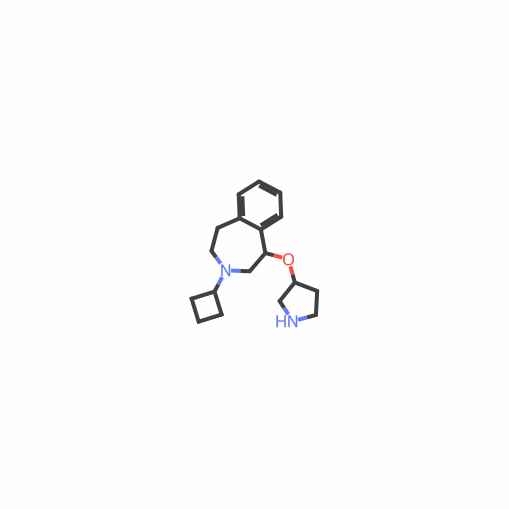 c1ccc2c(c1)CCN(C1CCC1)CC2OC1CCNC1